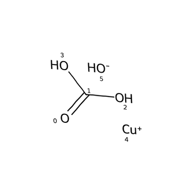 O=C(O)O.[Cu+].[OH-]